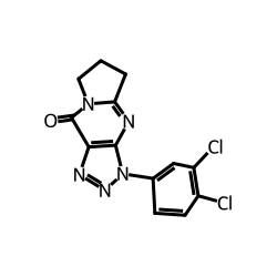 O=c1c2nnn(-c3ccc(Cl)c(Cl)c3)c2nc2n1CCC2